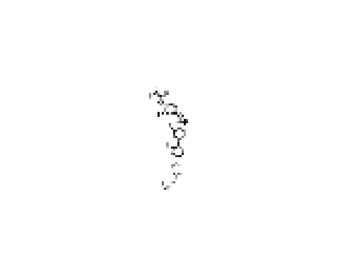 C=CC1CCC(c2ccc(-c3ccc(C(F)(F)Oc4ccc(OC(F)=C(F)F)c(F)c4)c(F)c3)c(F)c2)CC1